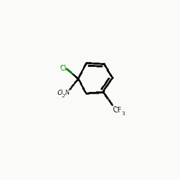 O=[N+]([O-])C1(Cl)C=CC=C(C(F)(F)F)C1